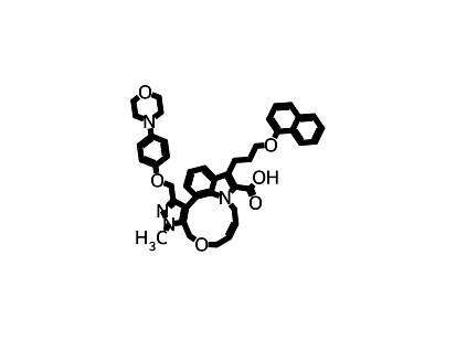 Cn1nc(COc2ccc(N3CCOCC3)cc2)c2c1COC/C=C\Cn1c(C(=O)O)c(CCCOc3cccc4ccccc34)c3cccc-2c31